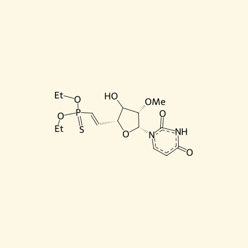 CCOP(=S)(/C=C/[C@H]1O[C@@H](n2ccc(=O)[nH]c2=O)[C@@H](OC)C1O)OCC